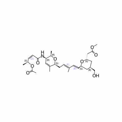 COC(=O)C[C@@H]1C[C@@H](CO)C[C@@H](/C=C/C(C)=C/C[C@@H]2O[C@H](C)[C@H](NC(=O)/C=C\[C@H](C)OC(C)=O)C=C2C)O1